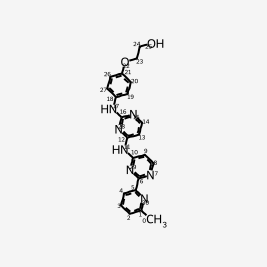 Cc1cccc(-c2nccc(Nc3ccnc(Nc4ccc(OCCO)cc4)n3)n2)n1